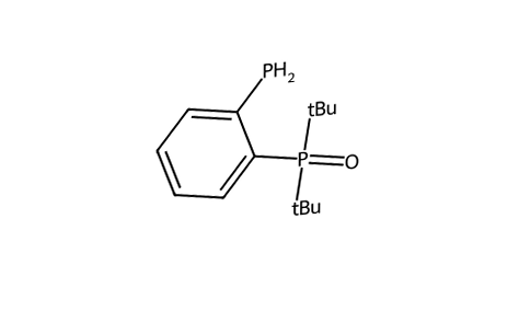 CC(C)(C)P(=O)(c1ccccc1P)C(C)(C)C